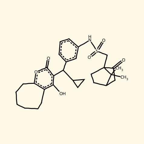 CC1(C)C2CCC1(CS(=O)(=O)Nc1cccc(C(c3c(O)c4c(oc3=O)CCCCCC4)C3CC3)c1)C(=O)C2